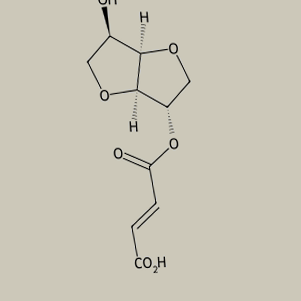 O=C(O)C=CC(=O)O[C@H]1CO[C@H]2[C@@H]1OC[C@H]2O